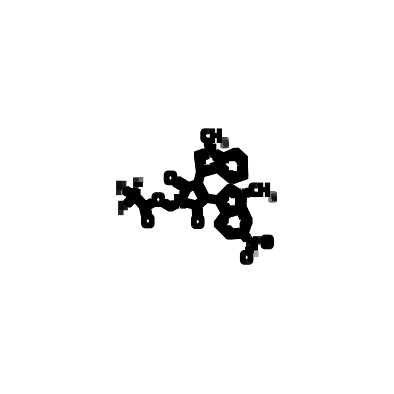 Cn1cc(C2=C(c3cn(C)c4cc([N+](=O)[O-])ccc34)C(=O)N(COC(=O)C(F)(F)F)C2=O)c2ccccc21